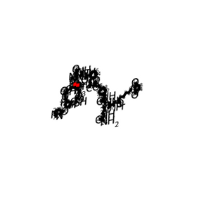 CC(C)C(NC(=O)CCCCCN1C(=O)C=CC1=O)C(=O)N[C@@H](CCCNC(N)=O)C(=O)Nc1ccc(COC(=O)N(C)Cc2ccccc2C(=O)Nc2nc3c(ncn3[C@@H]3O[C@@H]4CO[P@@](=O)(S)O[C@H]5C[C@H](Oc6ccncn6)C[C@@H]5CO[PH](=O)O[C@@H]3[C@@H]4O)c(=O)[nH]2)cc1